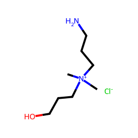 C[N+](C)(CCCN)CCCO.[Cl-]